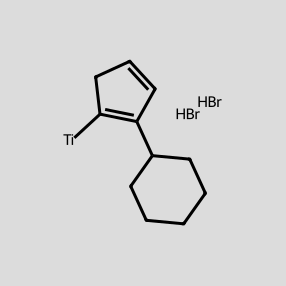 Br.Br.[Ti][C]1=C(C2CCCCC2)C=CC1